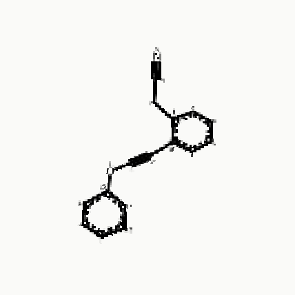 N#CCc1ccccc1C#COc1ccccc1